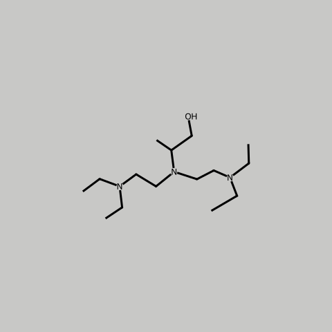 CCN(CC)CCN(CCN(CC)CC)C(C)CO